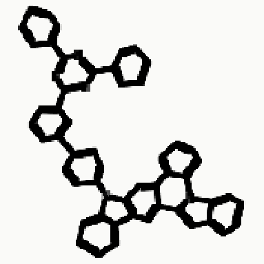 c1ccc(-c2nc(-c3ccccc3)nc(-c3cccc(-c4ccc(-n5c6ccccc6c6cc7c(cc65)c5ccccc5n5c6ccccc6cc75)cc4)c3)n2)cc1